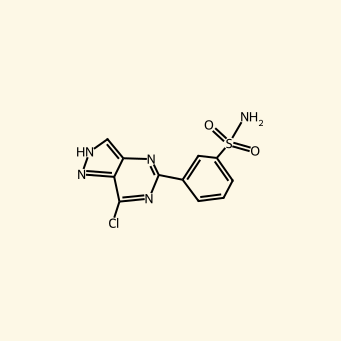 NS(=O)(=O)c1cccc(-c2nc(Cl)c3n[nH]cc3n2)c1